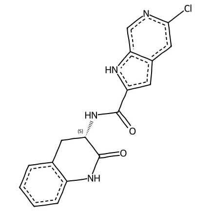 O=C(N[C@H]1Cc2ccccc2NC1=O)c1cc2cc(Cl)ncc2[nH]1